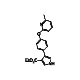 CCOC(=O)c1c[nH]cc1-c1ccc(Oc2cccc(C)n2)cc1